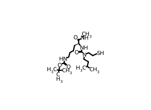 CNC(=O)[C@H](CCCCNC(=O)OC(C)(C)C)NC(=O)N(CCS)CCC(C)C